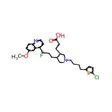 COc1ccc2nccc([C@@H](F)CCC3CCN(CCCCc4ccc(Cl)s4)CC3CCC(=O)O)c2c1